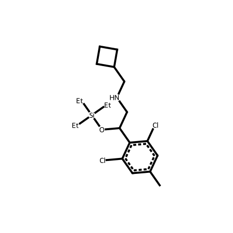 CC[Si](CC)(CC)OC(CNCC1CCC1)c1c(Cl)cc(C)cc1Cl